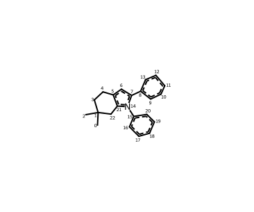 CC1(C)CCc2cc(-c3ccccc3)n(-c3ccccc3)c2C1